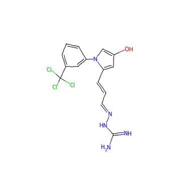 N=C(N)N/N=C/C=C/c1cc(O)cn1-c1cccc(C(Cl)(Cl)Cl)c1